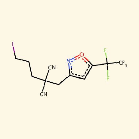 N#CC(C#N)(CCCI)Cc1cc(C(F)(F)C(F)(F)F)on1